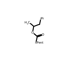 CCCCCC(=O)OC(C)CC(C)C